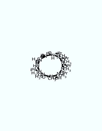 CC[C@@H]1NC(=O)[C@H](CC(C)C)N(C)C(=O)[C@H](CC(C)C)NC(=O)[C@H](CC(C)C)N(C)C(=O)N(C)C(=O)C[C@H](C)NC(=O)[C@H](CO)N(C)C(=O)[C@H](CC(C)C)N(C)C(=O)[C@H](CC(C)C)N(C)C(=O)[C@H](CC(C)C)N(C)C(=O)[C@@H](CC(C)C)NC1=O